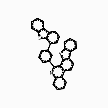 c1cc(-c2cccc3c2sc2ccccc23)cc(-c2nc3ccccc3c3ccc4c5ccccc5sc4c23)c1